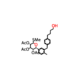 CS[C@H]1O[C@@H](c2ccc(C)c(Cc3ccc(CCCCO)cc3)c2)[C@H](OC(C)=O)[C@@H](OC(C)=O)[C@@H]1OC(C)=O